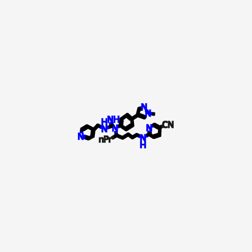 CCCC(CCCCNc1ccc(C#N)cn1)N(C(=N)NCc1ccncc1)c1ccc(-c2cnn(C)c2)cc1